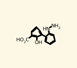 NNc1ccccc1-c1cccc(C(=O)O)c1O